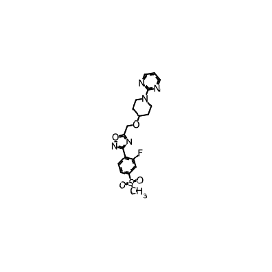 CS(=O)(=O)c1ccc(-c2noc(COC3CCN(c4ncccn4)CC3)n2)c(F)c1